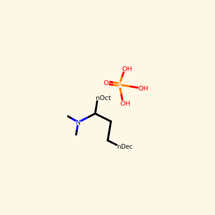 CCCCCCCCCCCCC(CCCCCCCC)N(C)C.O=P(O)(O)O